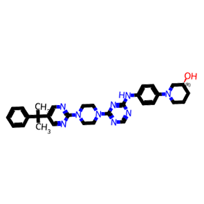 CC(C)(c1ccccc1)c1cnc(N2CCN(c3ncnc(Nc4ccc(N5CCC[C@@H](O)C5)cc4)n3)CC2)nc1